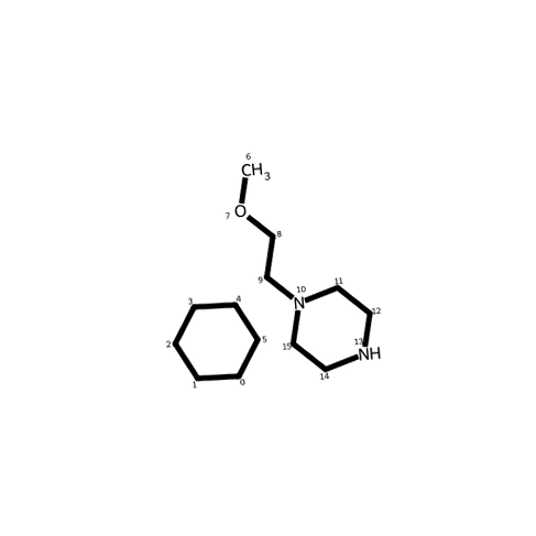 C1CCCCC1.COCCN1CCNCC1